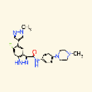 CN1CCN(c2ccc(NC(=O)c3n[nH]c4cc(F)c(-c5cnn(C)c5)cc34)cc2)CC1